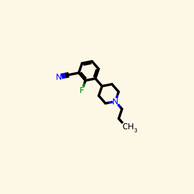 CCCN1CCC(c2cccc(C#N)c2F)CC1